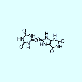 O=c1[nH]c(=O)[nH]c(=O)[nH]1.O=c1[nH]c(=O)c2[nH]c(=O)[nH]c2[nH]1